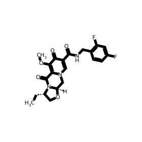 CC[C@H]1CO[C@@H]2Cn3cc(C(=O)NCc4ccc(F)cc4F)c(=O)c(OC)c3C(=O)N12